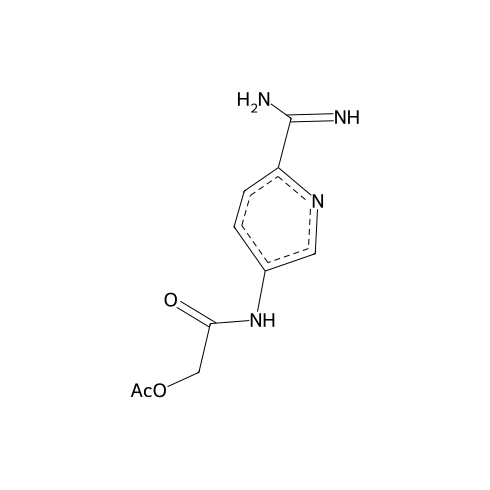 CC(=O)OCC(=O)Nc1ccc(C(=N)N)nc1